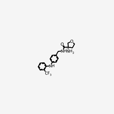 N[C@@]1(C(=O)NCc2ccc(Nc3ccccc3C(F)(F)F)cc2)CCOC1